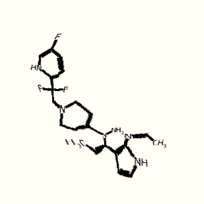 C/C=N\c1[nH]ccc1/C(=C/C)N(N)C1CCN(CC(F)(F)C2C=CC(F)=CN2)CC1